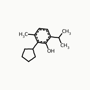 Cc1ccc(C(C)C)c(O)c1C1CCCC1